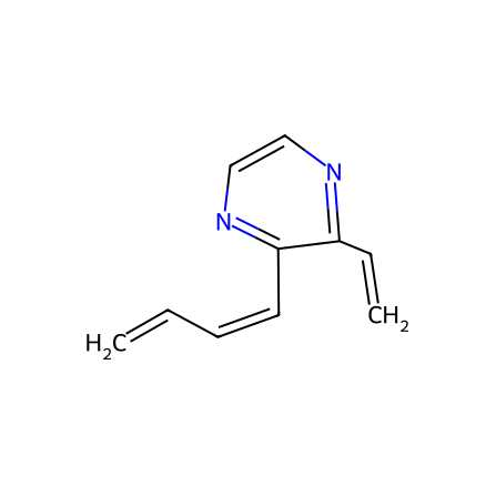 C=C/C=C\c1nccnc1C=C